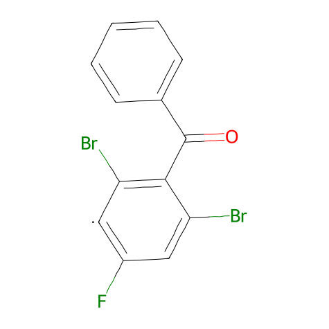 O=C(c1ccccc1)c1c(Br)[c]c(F)cc1Br